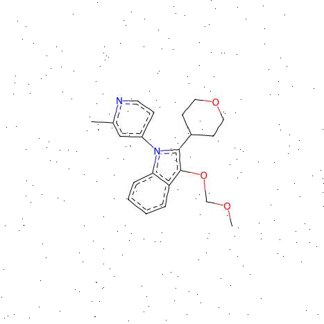 COCOc1c(C2CCOCC2)n(-c2ccnc(C)c2)c2ccccc12